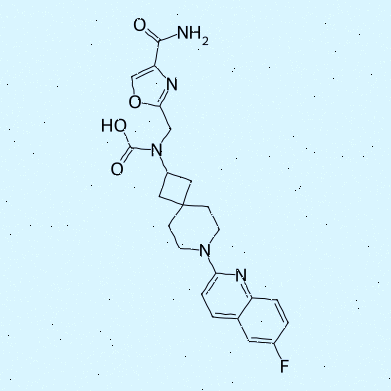 NC(=O)c1coc(CN(C(=O)O)C2CC3(CCN(c4ccc5cc(F)ccc5n4)CC3)C2)n1